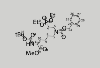 CCOP(=O)(CCN(CCC/C=C(/NC(=O)OC(C)(C)C)C(=O)OC)C(=O)OCc1ccccc1)OCC